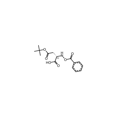 CC(C)(C)OC(=O)C[C@H](NOC(=O)c1ccccc1)C(=O)O